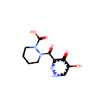 O=C(O)N1CCCCN1C(=O)c1n[nH]cc(O)c1=O